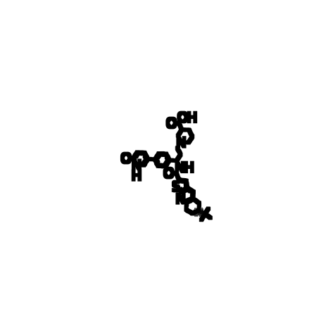 CC(C)(C)[C@H]1CCc2nc3sc(C(=O)NC(CCN4CCCC(C(=O)O)C4)c4ccc(-c5ccc(=O)[nH]c5)cc4)cc3cc2C1